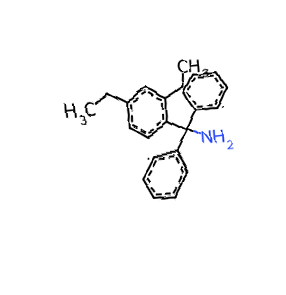 CCc1ccc(C(N)(c2[c]cccc2)c2[c]cccc2)c(CC)c1